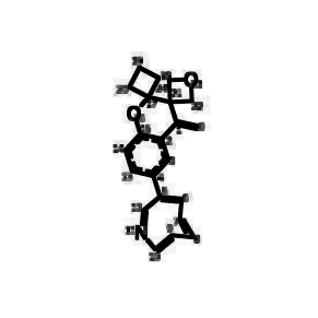 C=C1c2cc(C3=C/C=C/C=C/N=C\3)ccc2OC2(CCC2)C12COC2